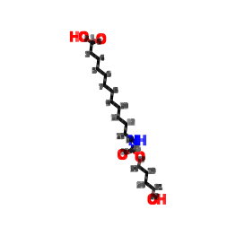 O=C(O)CCCCCCCCCCCNC(=O)OCCCCO